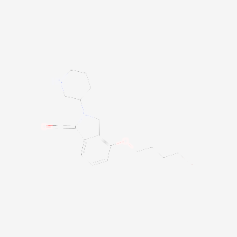 O=C=C1c2cccc(OCCCCBr)c2CN1C1CCCNC1